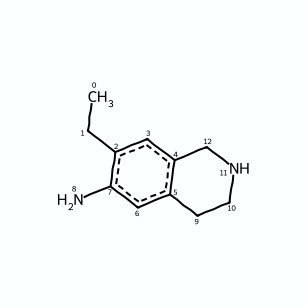 CCc1cc2c(cc1N)CCNC2